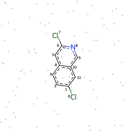 Clc1ccc2cc(Cl)ncc2c1